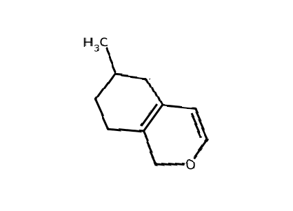 CC1[CH]C2=C(CC1)COC=C2